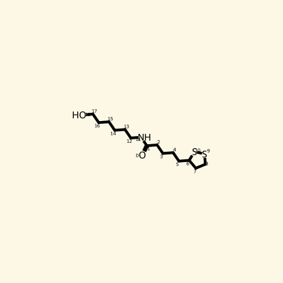 O=C(CCCCC1CCSS1)NCCCCCCO